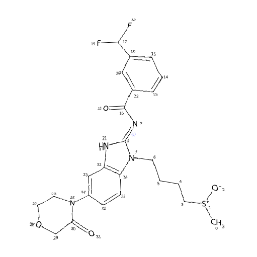 C[S+]([O-])CCCCn1/c(=N/C(=O)c2cccc(C(F)F)c2)[nH]c2cc(N3CCOCC3=O)ccc21